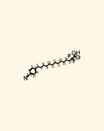 N#Cc1ccc(CCCCCCCCCCCCC(F)(F)C(=O)O)cc1